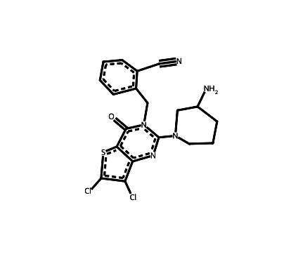 N#Cc1ccccc1Cn1c(N2CCCC(N)C2)nc2c(Cl)c(Cl)sc2c1=O